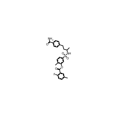 Cc1ccc(F)c(C(=O)Oc2cc(S(=O)(=O)NC(C)CCc3ccc(C(N)=O)cc3)ccc2C)c1